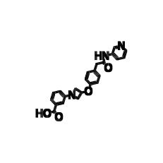 O=C(Cc1ccc(OC2CN(c3cccc(C(=O)O)c3)C2)cc1)Nc1cccnc1